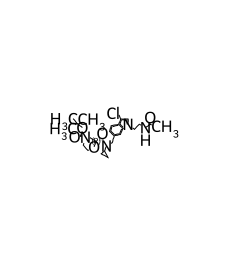 CC(=O)NCCn1cc(Cl)c2ccc(CN(C(=O)[C@H]3CN(C(=O)OC(C)(C)C)CCO3)C3CC3)cc21